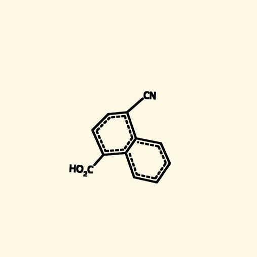 N#Cc1ccc(C(=O)O)c2ccccc12